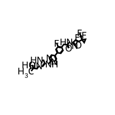 CC(O)CN/C=C(\C=N)Nc1ncc(-c2ccc(CC(=O)Nc3cc(C4(C(F)(F)F)CC4)on3)c(F)c2)cn1